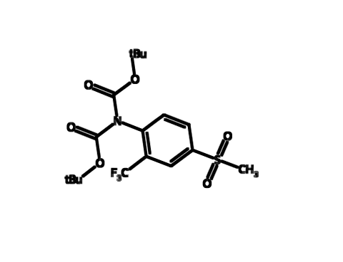 CC(C)(C)OC(=O)N(C(=O)OC(C)(C)C)c1ccc(S(C)(=O)=O)cc1C(F)(F)F